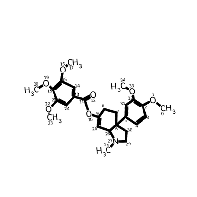 COc1ccc(C23CCC(OC(=O)c4cc(OC)c(OC)c(OC)c4)=CC2N(C)CC3)cc1OC